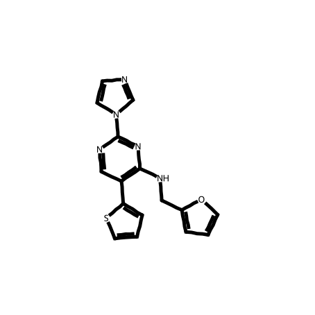 c1coc(CNc2nc(-n3ccnc3)ncc2-c2cccs2)c1